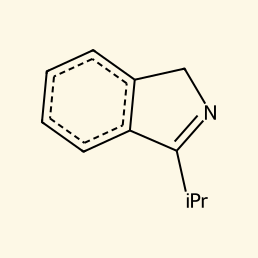 CC(C)C1=NCc2ccccc21